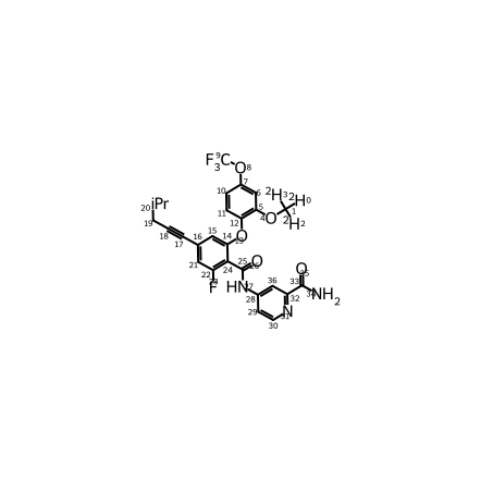 [2H]C([2H])([2H])Oc1cc(OC(F)(F)F)ccc1Oc1cc(C#CCC(C)C)cc(F)c1C(=O)Nc1ccnc(C(N)=O)c1